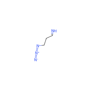 [N-]=[N+]=NCCC=N